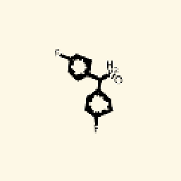 O=[PH2]C(c1ccc(F)cc1)c1ccc(F)cc1